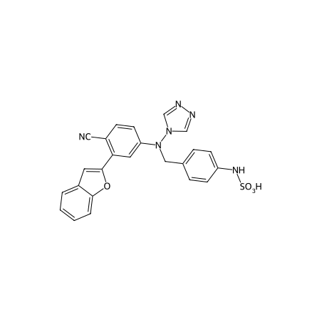 N#Cc1ccc(N(Cc2ccc(NS(=O)(=O)O)cc2)n2cnnc2)cc1-c1cc2ccccc2o1